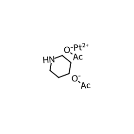 C1CCNCC1.CC(=O)[O-].CC(=O)[O-].[Pt+2]